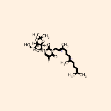 CC(C)=CCC/C(C)=C/CC/C(C)=C/Cn1c(=O)c(F)cn([C@@H]2O[C@H](CO)[C@H]3OC(C)(C)O[C@@H]32)c1=O